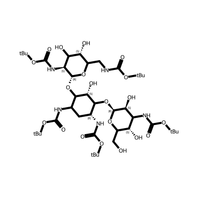 CC(C)(C)OC(=O)NCC1O[C@H](OC2C(NC(=O)OC(C)(C)C)C[C@@H](NC(=O)OC(C)(C)C)C(O[C@@H]3OC(CO)[C@@H](O)C(NC(=O)OC(C)(C)C)[C@@H]3O)[C@H]2O)[C@@H](NC(=O)OC(C)(C)C)C(O)[C@@H]1O